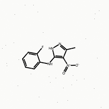 Cc1n[nH]c(Nc2ccccc2F)c1[N+](=O)[O-]